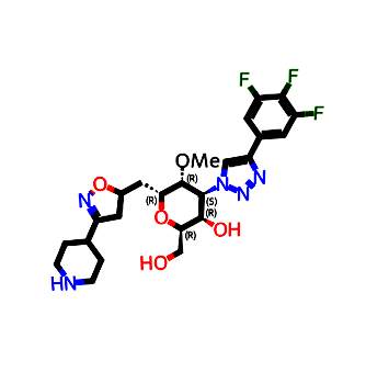 CO[C@@H]1[C@@H](n2cc(-c3cc(F)c(F)c(F)c3)nn2)[C@@H](O)[C@@H](CO)O[C@@H]1CC1CC(C2CCNCC2)=NO1